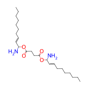 CCCCCCCC=CC(N)OC(=O)CCC(=O)OC(N)C=CCCCCCCC